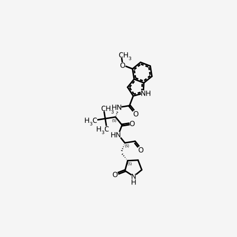 COc1cccc2[nH]c(C(=O)N[C@H](C(=O)N[C@H](C=O)C[C@@H]3CCNC3=O)C(C)(C)C)cc12